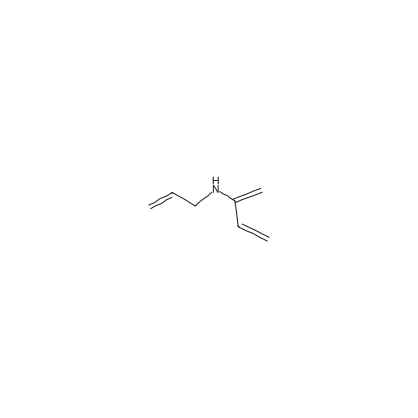 C=CCNC(=C)C=C